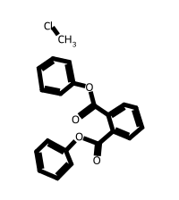 CCl.O=C(Oc1ccccc1)c1ccccc1C(=O)Oc1ccccc1